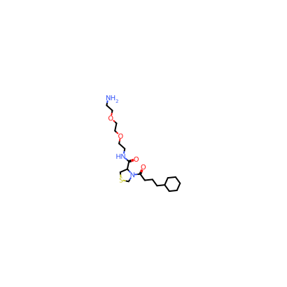 NCCOCCOCCNC(=O)C1CSCN1C(=O)CCCC1CCCCC1